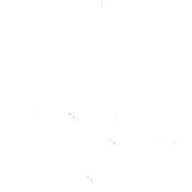 CCOC(=O)[C@H](C)Nc1ncccc1NC(=O)c1ccc(Cl)cc1.Cl